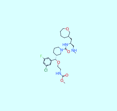 CNC[C@H](C[C@H]1CCCCOC1)NC(=O)N1CCC[C@@H](C(OCCNC(=O)OC)c2cc(F)cc(Cl)c2)C1